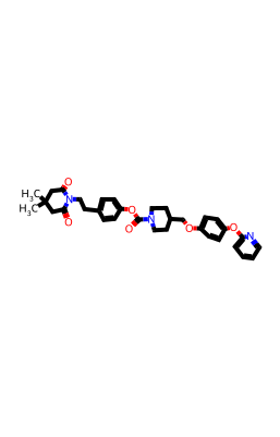 CC1(C)CC(=O)N(CCc2ccc(OC(=O)N3CCC(COc4ccc(Oc5ccccn5)cc4)CC3)cc2)C(=O)C1